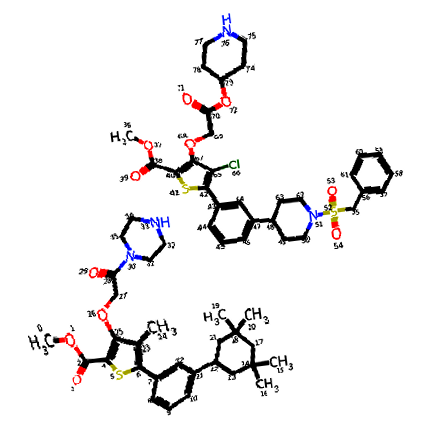 COC(=O)c1sc(-c2cccc(C3CC(C)(C)CC(C)(C)C3)c2)c(C)c1OCC(=O)N1CCNCC1.COC(=O)c1sc(-c2cccc(C3CCN(S(=O)(=O)Cc4ccccc4)CC3)c2)c(Cl)c1OCC(=O)OC1CCNCC1